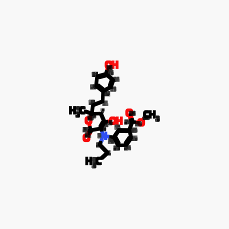 CCCN(C1=C(O)CC(C)(CCc2ccc(O)cc2)OC1=O)c1cccc(C(=O)OC)c1